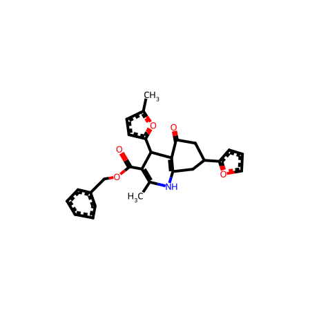 CC1=C(C(=O)OCc2ccccc2)C(c2ccc(C)o2)C2=C(CC(c3ccco3)CC2=O)N1